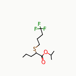 CCCC(SCCCC(F)(F)F)C(=O)OC(C)C